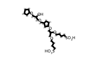 O=S(=O)(O)CCCCOCC(CO[C@@H]1CCC(COCC(O)COC2CCCC2)C1)OCCCCS(=O)(=O)O